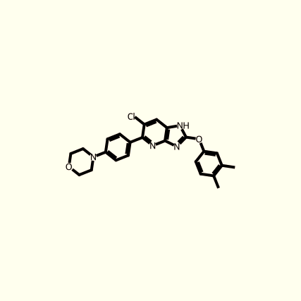 Cc1ccc(Oc2nc3nc(-c4ccc(N5CCOCC5)cc4)c(Cl)cc3[nH]2)cc1C